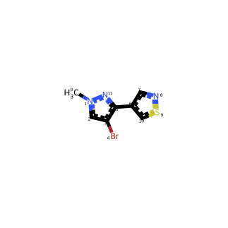 Cn1cc(Br)c(-c2cnsc2)n1